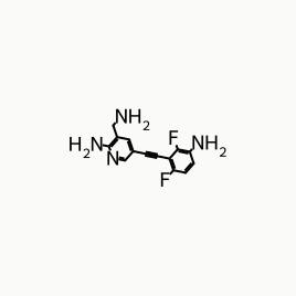 NCc1cc(C#Cc2c(F)ccc(N)c2F)cnc1N